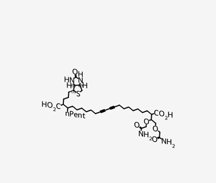 CCCCCC(CCCCCCC#CC#CCCCCCCCC(C(=O)O)C(COCC(N)=O)OCC(N)=O)C(CCC[C@@H]1SC[C@@H]2NC(=O)N[C@@H]21)C(=O)O